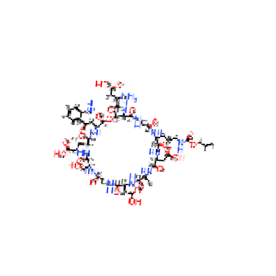 C=CCOC(=O)NCCCC1NC(=O)CNC(=O)C(NC(=O)C(N)CC(=O)O)C(C)OC(=O)C(CC(=O)c2ccccc2N)NC(=O)[C@@H]([C@@H](C)CC(=O)O)NC(=O)C(CO)NC(=O)CNC(=O)C(CC(=O)O)NC(=O)C(C)NC(=O)C(CC(=O)O)NC1=O